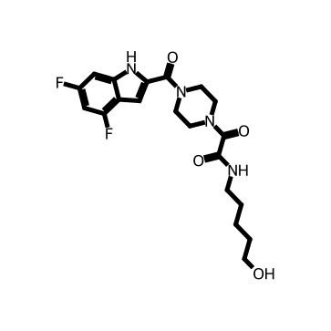 O=C(NCCCCCO)C(=O)N1CCN(C(=O)c2cc3c(F)cc(F)cc3[nH]2)CC1